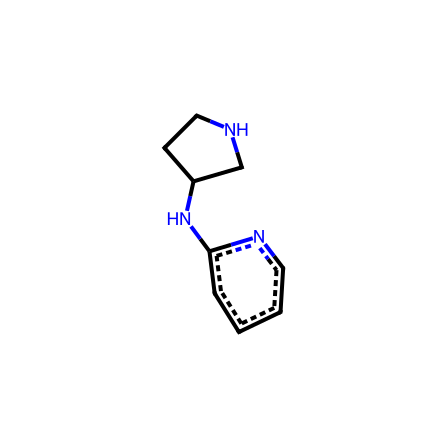 c1ccc(NC2CCNC2)nc1